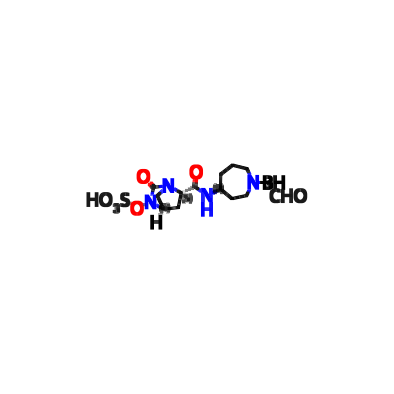 O=CBN1CCC[C@H](NC(=O)[C@@H]2C[C@@H]3CN2C(=O)N3OS(=O)(=O)O)CC1